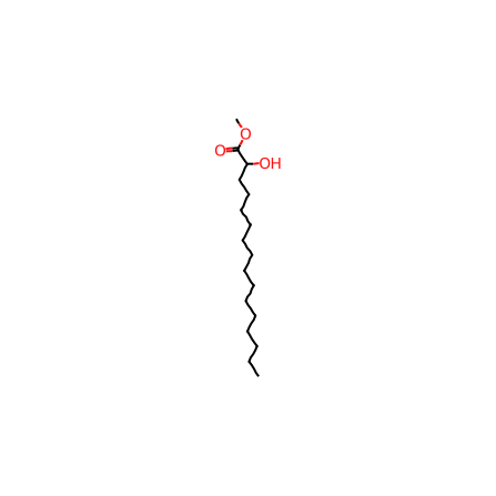 CCCCCCCCCCCCCCC(O)C(=O)OC